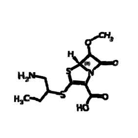 CCC(CN)SC1=C(C(=O)O)N2C(=O)C(OC)[C@H]2S1